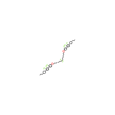 CCCC1CCC(c2ccc(-c3ccc(OCCCCCCCC(F)(F)CCCCCCCOc4ccc(-c5ccc(C6CCC(CCC)CC6)c(F)c5F)c(F)c4)cc3F)c(F)c2F)CC1